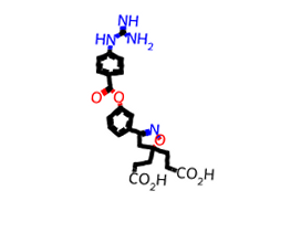 N=C(N)Nc1ccc(C(=O)Oc2cccc(C3=NOC(CCC(=O)O)(CCC(=O)O)C3)c2)cc1